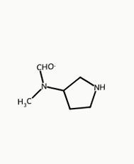 CN([C]=O)C1CCNC1